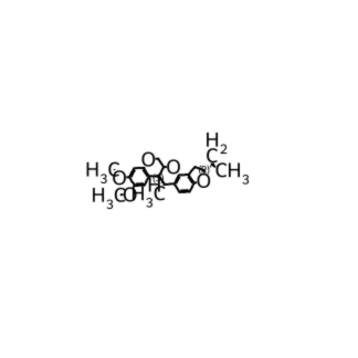 C=C(C)[C@H]1Cc2c(ccc3c2OC2COc4cc(OC)c(OC)cc4[C@@H]2C3C)O1